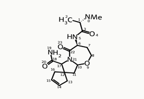 CN[C@@H](C)C(=O)N[C@H]1CCOC2CC3(CC=CC3)C(C(N)=O)N2C1=O